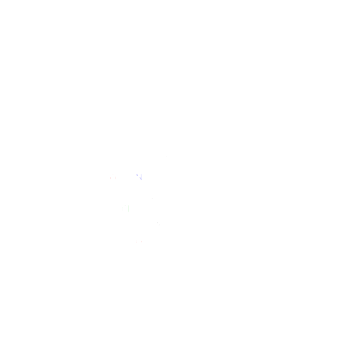 O=C1c2ccccc2OC(c2ccc(Cl)cc2)C1(Cl)[N+](=O)[O-]